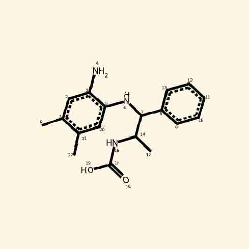 Cc1cc(N)c(NC(c2ccccc2)C(C)NC(=O)O)cc1C